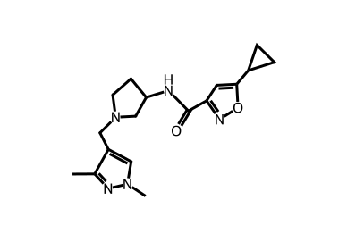 Cc1nn(C)cc1CN1CCC(NC(=O)c2cc(C3CC3)on2)C1